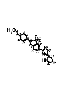 CCCc1ccc(CCc2ccc(-c3noc([C@@H]4CCCN4)n3)cc2C(F)(F)F)cc1